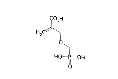 C=C(COCP(=O)(O)O)C(=O)O